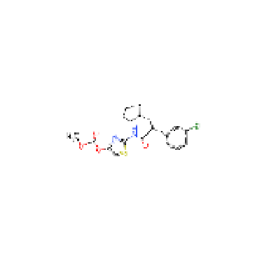 COC(=O)Oc1csc(NC(=O)C(CC2CCCC2)c2cccc(Cl)c2)n1